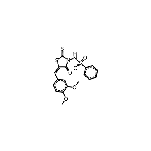 COc1ccc(C=C2SC(=S)N(NS(=O)(=O)c3ccccc3)C2=O)cc1OC